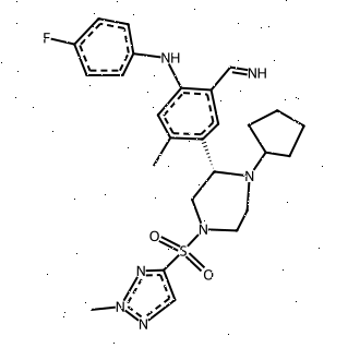 Cc1cc(Nc2ccc(F)cc2)c(C=N)cc1[C@H]1CN(S(=O)(=O)c2cnn(C)n2)CCN1C1CCCC1